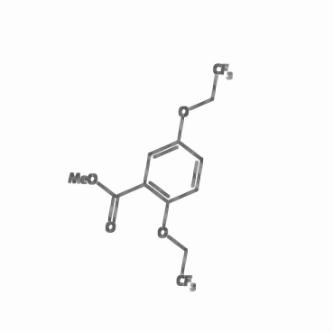 COC(=O)c1cc(OCC(F)(F)F)ccc1OCC(F)(F)F